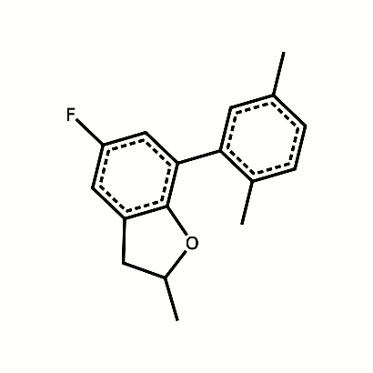 Cc1ccc(C)c(-c2cc(F)cc3c2OC(C)C3)c1